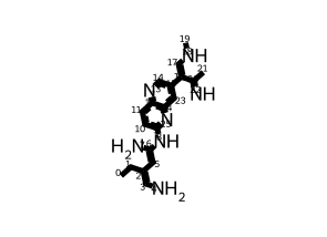 CCC(=C/N)/C=C(\N)Nc1ccc2ncc(/C(=C/NC)C(C)=N)cc2n1